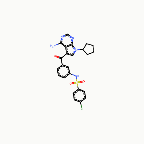 Nc1ncnc2c1c(C(=O)c1cccc(NS(=O)(=O)c3ccc(Cl)cc3)c1)cn2C1CCCC1